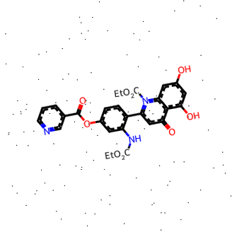 CCOC(=O)Nc1cc(OC(=O)c2cccnc2)ccc1-c1cc(=O)c2c(O)cc(O)cc2n1C(=O)OCC